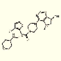 C[C@@H]1C[C@H](O)c2ncnc(N3CCN(C(=O)[C@H](CNC4CCOCC4)c4sccc4Cl)CC3)c21